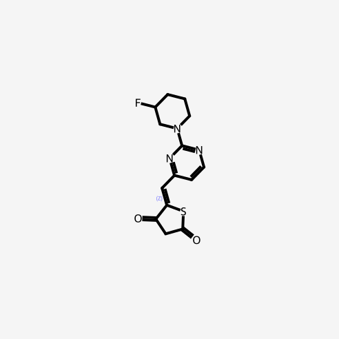 O=C1CC(=O)/C(=C/c2ccnc(N3CCCC(F)C3)n2)S1